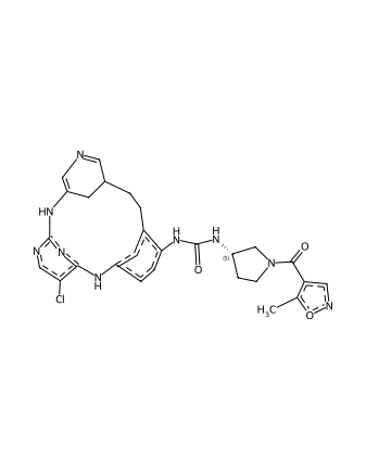 Cc1oncc1C(=O)N1CC[C@H](NC(=O)Nc2ccc3cc2CCC2C=NC=C(C2)Nc2ncc(Cl)c(n2)N3)C1